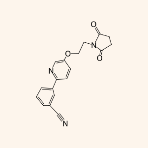 N#Cc1cccc(-c2ccc(OCCN3C(=O)CCC3=O)cn2)c1